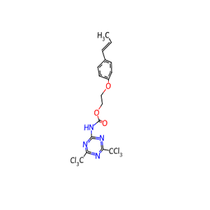 CC=Cc1ccc(OCCOC(=O)Nc2nc(C(Cl)(Cl)Cl)nc(C(Cl)(Cl)Cl)n2)cc1